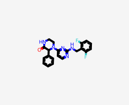 O=C1NCCN(c2ccnc(NCc3c(F)cccc3F)n2)C1c1ccccc1